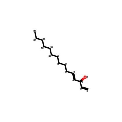 C=CC(=O)C=CCCCCCCCCCC